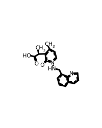 Cc1ccn(NCc2cccc3cccnc23)c(=O)c1C(C)C(=O)O